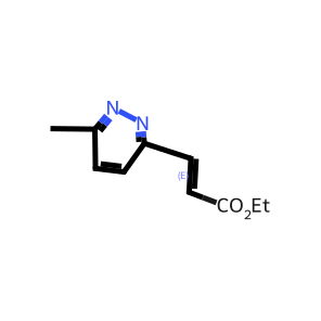 CCOC(=O)/C=C/c1ccc(C)nn1